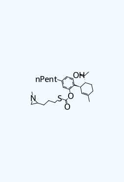 C=C(C)[C@@H]1CCC(C)=C[C@H]1c1c(O)cc(CCCCC)cc1OC(=O)SCCCC1CN1C